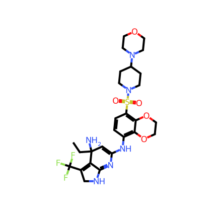 CCC1(N)C=C(Nc2ccc(S(=O)(=O)N3CCC(N4CCOCC4)CC3)c3c2OCCO3)N=C2NCC(C(F)(F)F)=C21